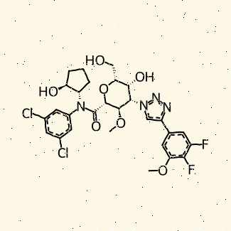 COc1cc(-c2cn([C@H]3[C@@H](O)[C@@H](CO)O[C@@H](C(=O)N(c4cc(Cl)cc(Cl)c4)[C@H]4CCC[C@@H]4O)[C@@H]3OC)nn2)cc(F)c1F